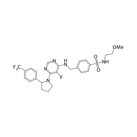 COCCNS(=O)(=O)c1ccc(CNc2ncnc(N3CCCC3c3ccc(C(F)(F)F)cc3)c2F)cc1